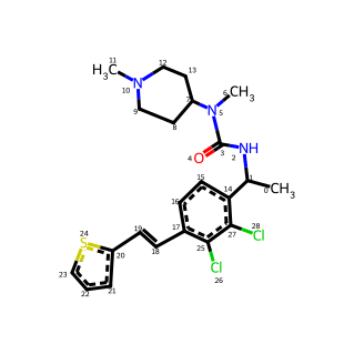 CC(NC(=O)N(C)C1CCN(C)CC1)c1ccc(C=Cc2cccs2)c(Cl)c1Cl